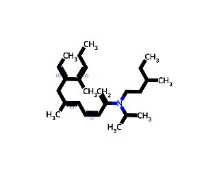 C=C(/C=C\C=C(/C)CC(=C/C)/C(C)=C\CC)N(CCC(C)CC)C(C)C